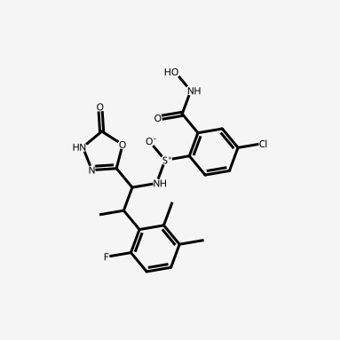 Cc1ccc(F)c(C(C)C(N[S+]([O-])c2ccc(Cl)cc2C(=O)NO)c2n[nH]c(=O)o2)c1C